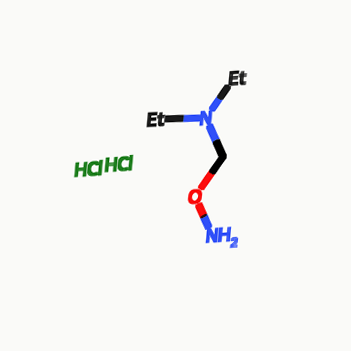 CCN(CC)CON.Cl.Cl